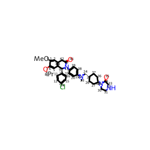 COc1cc2c(cc1OC(C)C)[C@H](c1ccc(Cl)cc1)N(c1ccc(N(C)C[C@H]3CC[C@@H](N4CCNCC4=O)CC3)cc1)C(=O)C2